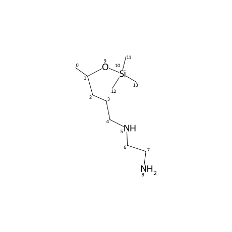 CC(CCCNCCN)O[Si](C)(C)C